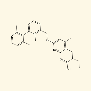 CC[C@@H](Cc1cnc(OCc2cccc(-c3c(C)cccc3C)c2C)cc1C)C(=O)O